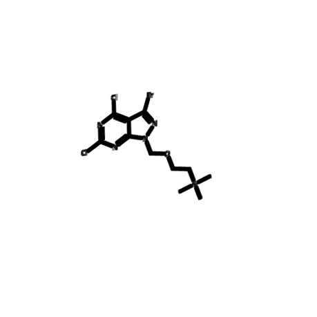 C[Si](C)(C)CCOCn1nc(Br)c2c(Cl)nc(Cl)nc21